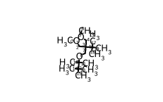 COCC(COC)(COC(C)(C)C(C)(C)C)C(C)(C)C